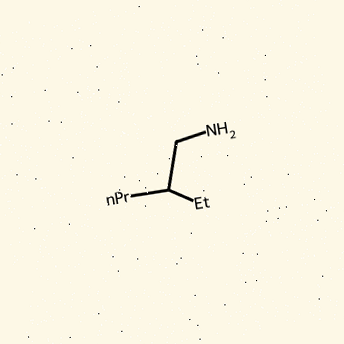 CCCC(CC)CN